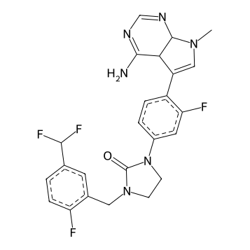 CN1C=C(c2ccc(N3CCN(Cc4cc(C(F)F)ccc4F)C3=O)cc2F)C2C(N)=NC=NC21